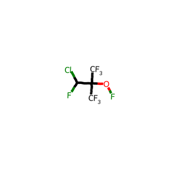 FOC(C(F)Cl)(C(F)(F)F)C(F)(F)F